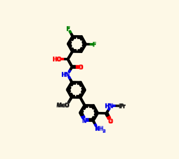 COc1cc(NC(=O)C(O)c2cc(F)cc(F)c2)ccc1-c1cnc(N)c(C(=O)NC(C)C)c1